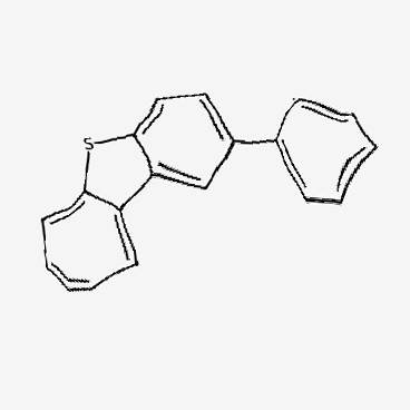 [c]1ccccc1-c1ccc2sc3ccccc3c2c1